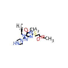 CC#CCn1c(N2CCNCC2)nc2nc(SCCC(=O)OCC)n(C)c(=O)c21